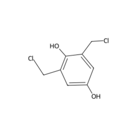 Oc1cc(CCl)c(O)c(CCl)c1